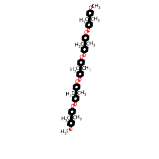 COC1CCC(C(C)(C)C2CCC(OOC3CCC(C(C)(C)C4CCC(OOC5CCC(C(C)(C)C6CCC(OOC7CCC(C(C)(C)C8CCC(OOC9CCC(C(C)(C)C%10CCC(OC)CC%10)CC9)CC8)CC7)CC6)CC5)CC4)CC3)CC2)CC1